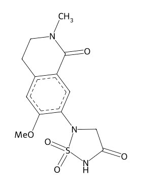 COc1cc2c(cc1N1CC(=O)NS1(=O)=O)C(=O)N(C)CC2